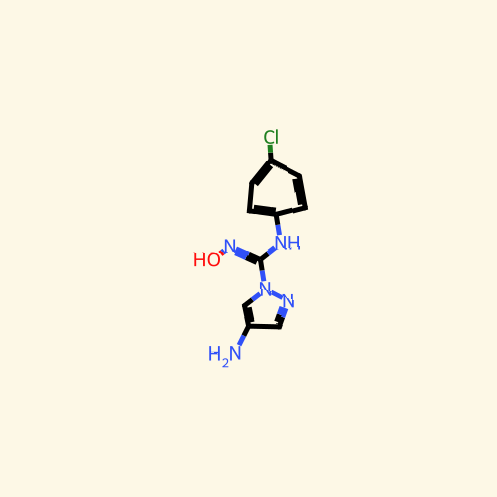 Nc1cnn(C(=NO)Nc2ccc(Cl)cc2)c1